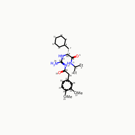 CCC(CC)NC(=O)[C@@H](CC1CCCCC1)NC(N)=NC(=O)Cc1ccc(OC)c(OC)c1